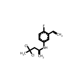 C=Cc1cc(NC(=C)CC(C)(Cl)Cl)ccc1F